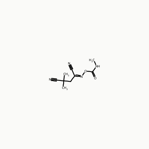 CNC(=O)ON=C(C#N)CC(C)(C)C#N